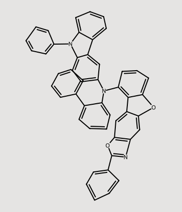 c1ccc(-c2nc3cc4oc5cccc(N(c6ccc7c(c6)c6ccccc6n7-c6ccccc6)c6ccccc6-c6ccccc6)c5c4cc3o2)cc1